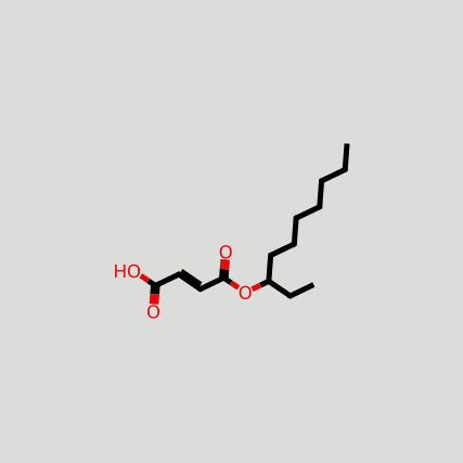 CCCCCCCC(CC)OC(=O)/C=C/C(=O)O